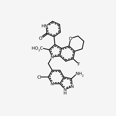 Nc1n[nH]c2nc(Cl)c(Cn3c(C(=O)O)c(-c4ccc[nH]c4=O)c4c5c(c(F)cc43)CCCO5)cc12